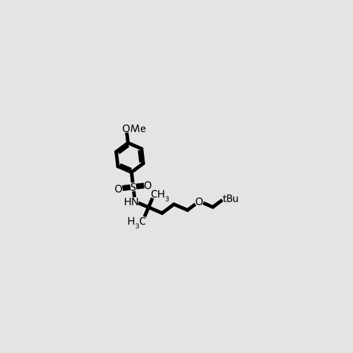 COc1ccc(S(=O)(=O)NC(C)(C)CCCOCC(C)(C)C)cc1